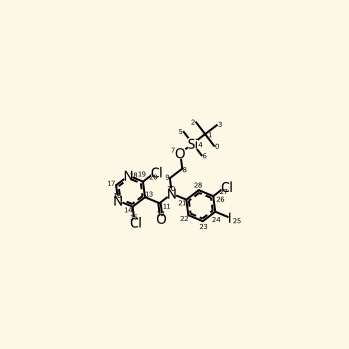 CC(C)(C)[Si](C)(C)OCCN(C(=O)c1c(Cl)ncnc1Cl)c1ccc(I)c(Cl)c1